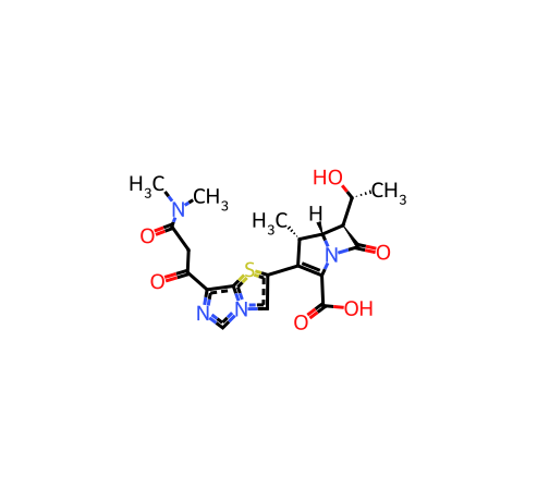 C[C@@H](O)[C@H]1C(=O)N2C(C(=O)O)=C(c3cn4cnc(C(=O)CC(=O)N(C)C)c4s3)[C@H](C)[C@H]12